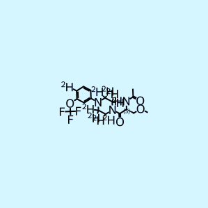 [2H]c1ccc(N2C([2H])([2H])C([2H])([2H])N(C(=O)[C@H](COC)NC(C)=O)C([2H])([2H])C2([2H])[2H])cc1OC(F)(F)F